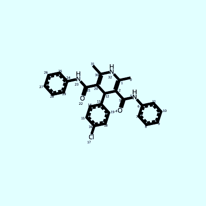 CC1=C(C(=O)Nc2ccccc2)C(c2ccc(Cl)cc2)C(C(=O)Nc2ccccc2)=C(C)N1